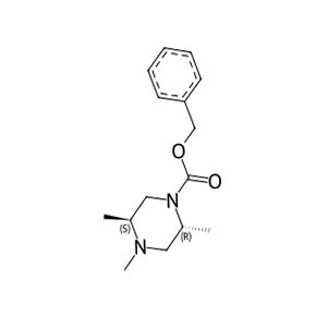 C[C@@H]1CN(C)[C@@H](C)CN1C(=O)OCc1ccccc1